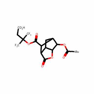 CC(C)(C)C(=O)OC1C2CC3C1OC(=O)C3C2C(=O)OC(CC(=O)O)(C(F)(F)F)C(F)(F)F